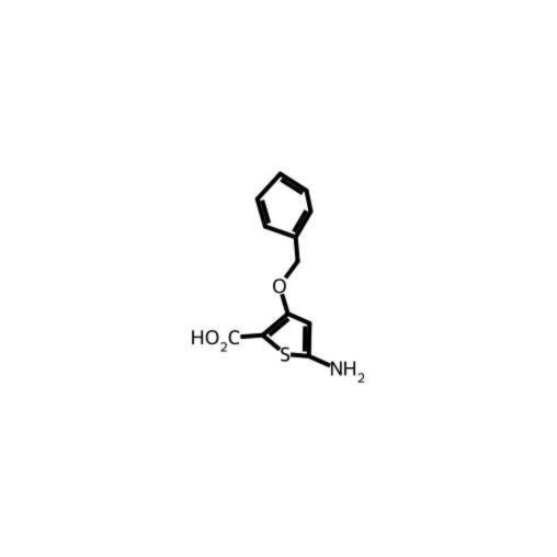 Nc1cc(OCc2ccccc2)c(C(=O)O)s1